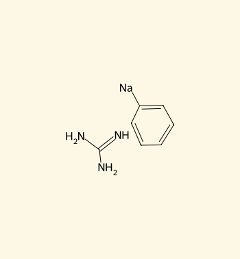 N=C(N)N.[Na][c]1ccccc1